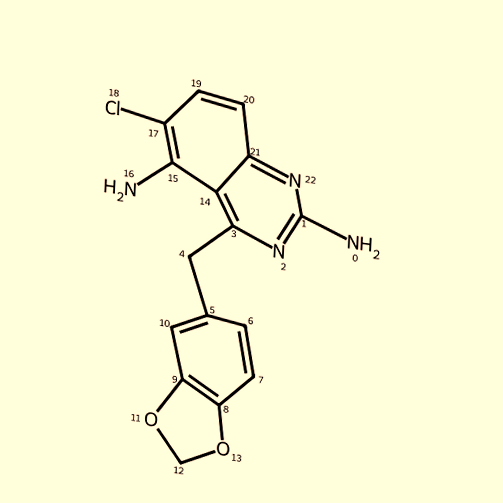 Nc1nc(Cc2ccc3c(c2)OCO3)c2c(N)c(Cl)ccc2n1